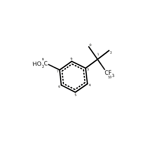 CC(C)(c1cccc(C(=O)O)c1)C(F)(F)F